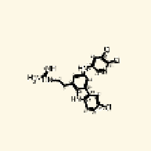 N=C(N)NCCc1cc(Nc2cnc(Cl)c(Cl)c2)cc2c1[nH]c1ccc(Cl)cc12